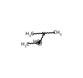 CCCCCCCCCN(CCCCCCCCC)CCCCCCOP(=O)(O)OCCCCCCCC